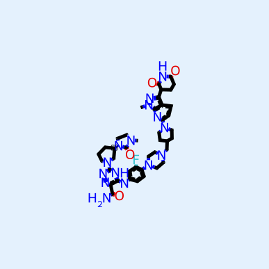 CN1CCN([C@@H]2CCCN(c3nnc(C(N)=O)c(Nc4ccc(N5CCN(CC6CCN(c7ccc8c(C9CCC(=O)NC9=O)nn(C)c8n7)CC6)CC5)c(F)c4)n3)C2)C1=O